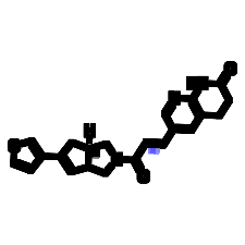 O=C1CCc2cc(/C=C/C(=O)N3CC4C=C(c5ccoc5)C[C@H]4C3)cnc2N1